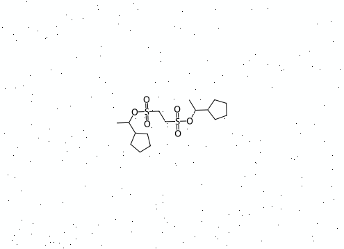 CC(OS(=O)(=O)CCS(=O)(=O)OC(C)C1CCCC1)C1CCCC1